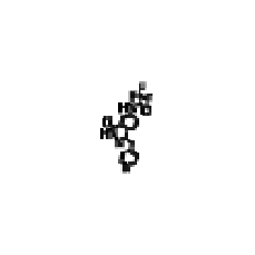 O=C(Nc1ccc2c(Cc3ccncc3)n[nH]c(=O)c2c1)C(F)(F)F